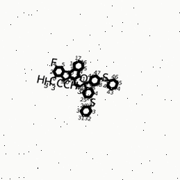 Cc1cc(F)cc2c1C(C)(C)c1c3c(c4ccccc4c1-2)OC(c1ccc(Sc2ccccc2)cc1)(c1ccc(Sc2ccccc2)cc1)C=C3